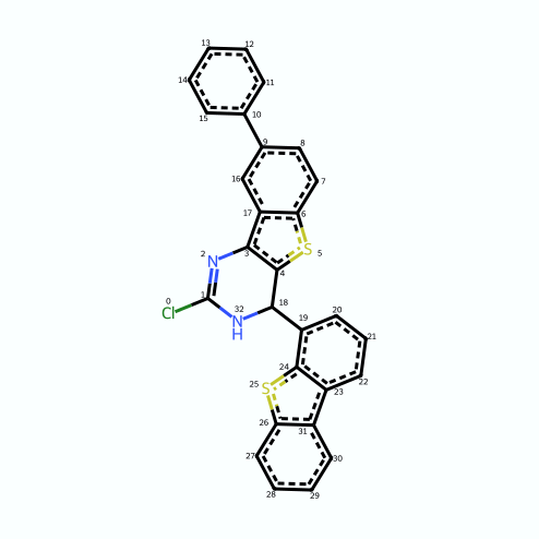 ClC1=Nc2c(sc3ccc(-c4ccccc4)cc23)C(c2cccc3c2sc2ccccc23)N1